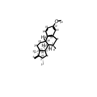 C=C1[C@@H](C)C[C@@H]2[C@@H]3[C@H](C)Cc4cc(OC)ccc4[C@H]3CC[C@]12C